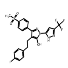 CS(=O)(=O)c1ccc(-c2nn(-c3cc(C(F)(F)F)n[nH]3)c(O)c2CCc2ccc(F)cc2)cc1